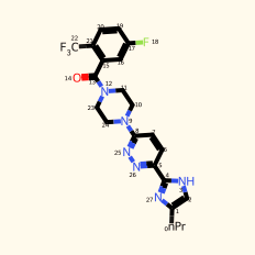 CCCc1c[nH]c(-c2ccc(N3CCN(C(=O)c4cc(F)ccc4C(F)(F)F)CC3)nn2)n1